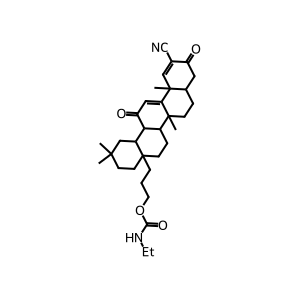 CCNC(=O)OCCCC12CCC3C(C(=O)C=C4C5(C)C=C(C#N)C(=O)CC5CCC43C)C1CC(C)(C)CC2